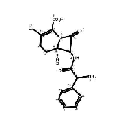 NC(C(=O)N[C@@H]1C(=O)N2C(C(=O)O)=C(Cl)CC[C@H]12)c1ccccc1